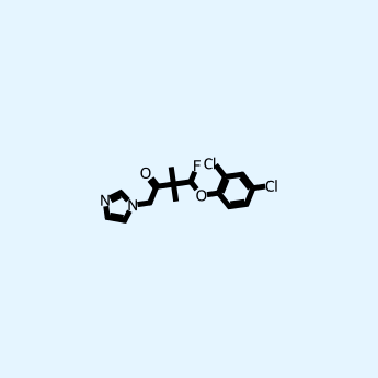 CC(C)(C(=O)Cn1ccnc1)C(F)Oc1ccc(Cl)cc1Cl